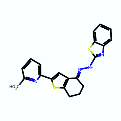 O=C(O)c1cccc(-c2cc3c(s2)CCCC3=NNc2nc3ccccc3s2)n1